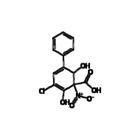 O=C(O)C1([N+](=O)[O-])C(O)=C(Cl)C=C(c2ccccc2)C1O